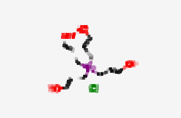 OC=CC[P+](CC=CO)(CC=CO)CC=CO.[Cl-]